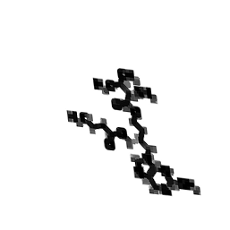 CCCC(=O)OC[C@H](CCOC(=O)[C@@H](N)C(C)C)Cn1cnc2cnc(N)nc21